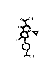 CC(O)N1CCN(c2cc3c(cc2Cl)c(=O)c(C(=O)O)cn3C2CC2)CC1